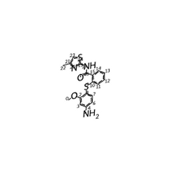 COc1cc(N)ccc1Sc1ccccc1C(=O)Nc1nc(C)cs1